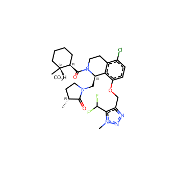 C[C@@H]1CCN(C[C@@H]2c3c(OCc4nnn(C)c4C(F)F)ccc(Cl)c3CCN2C(=O)[C@@H]2CCCC[C@]2(C)C(=O)O)C1=O